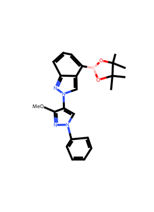 COc1nn(-c2ccccc2)cc1-n1cc2c(B3OC(C)(C)C(C)(C)O3)cccc2n1